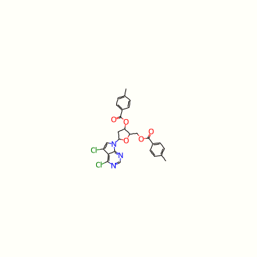 Cc1ccc(C(=O)OCC2OC(n3cc(Cl)c4c(Cl)ncnc43)CC2OC(=O)c2ccc(C)cc2)cc1